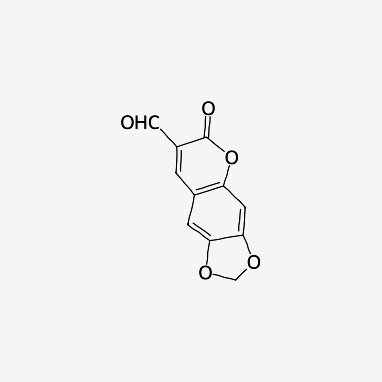 O=Cc1cc2cc3c(cc2oc1=O)OCO3